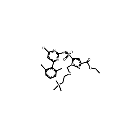 CCOC(=O)c1cc(S(=O)(=O)Nc2nc(Cl)cc(-c3c(C)cccc3C)n2)n(COCCS(C)(C)C)n1